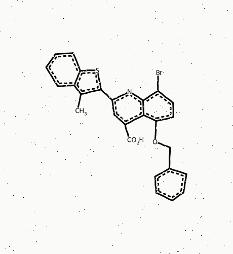 Cc1c(-c2cc(C(=O)O)c3c(OCc4ccccc4)ccc(Br)c3n2)sc2ccccc12